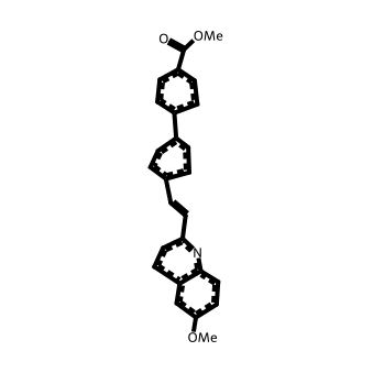 COC(=O)c1ccc(-c2ccc(/C=C/c3ccc4cc(OC)ccc4n3)cc2)cc1